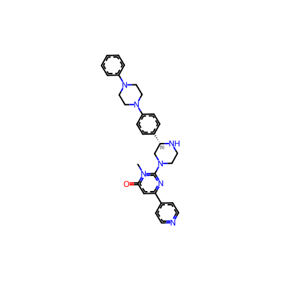 Cn1c(N2CCN[C@@H](c3ccc(N4CCN(c5ccccc5)CC4)cc3)C2)nc(-c2ccncc2)cc1=O